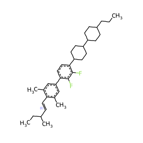 CCCC1CCC(C2CCC(c3ccc(-c4cc(C)c(/C=C/C(C)CC)c(C)c4)c(F)c3F)CC2)CC1